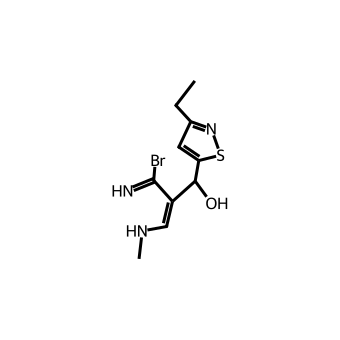 CCc1cc(C(O)/C(=C/NC)C(=N)Br)sn1